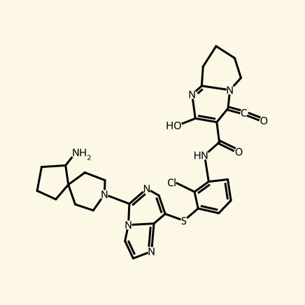 NC1CCCC12CCN(c1ncc(Sc3cccc(NC(=O)C4=C(O)N=C5CCCCN5C4=C=O)c3Cl)c3nccn13)CC2